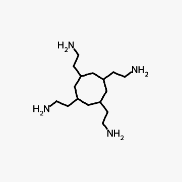 NCCC1CC(CCN)CC(CCN)CC(CCN)C1